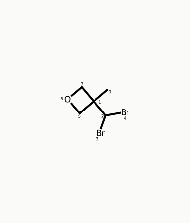 CC1(C(Br)Br)COC1